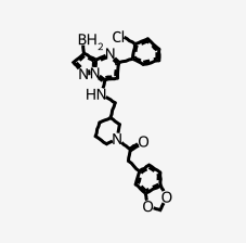 Bc1cnn2c(NCC3CCCN(C(=O)Cc4ccc5c(c4)OCO5)C3)cc(-c3ccccc3Cl)nc12